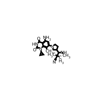 CNC(C1CCN(c2cc(N)c3c(=O)[nH]c(=O)n(C4CC4)c3c2C)C1)C(C)(C)C#N